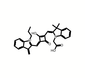 C=C1C(C=C2C(=O)C(C=C3N(CC(=O)O)c4ccccc4C3(C)C)=C2O)=[N+](CCC)c2ccccc21